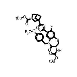 CC(C)(C)OC(=O)N[C@H]1CSc2cc(F)c(-c3noc(C45CC(CN(C(=O)OC(C)(C)C)C4)C5)n3)cc2N(Cc2ccc(OC(F)(F)F)cc2)C1=O